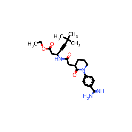 CCOC(=O)CC(C#CC(C)(C)C)NC(=O)CC1CCCN(c2ccc(C(=N)N)cc2)C1=O